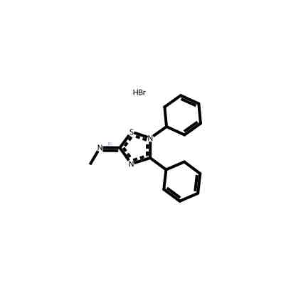 Br.C/N=c1\nc(C2C=CC=CC2)n(C2C=CC=CC2)s1